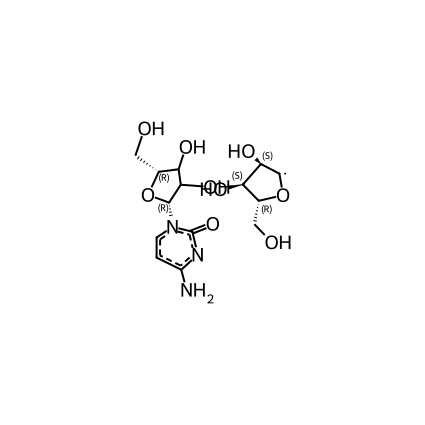 Nc1ccn([C@@H]2O[C@H](CO)C(O)C2O)c(=O)n1.OC[C@H]1O[CH][C@H](O)[C@@H]1O